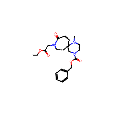 CCOC(=O)CN1CCC2(CCC1=O)CN(C(=O)OCc1ccccc1)CCN2C